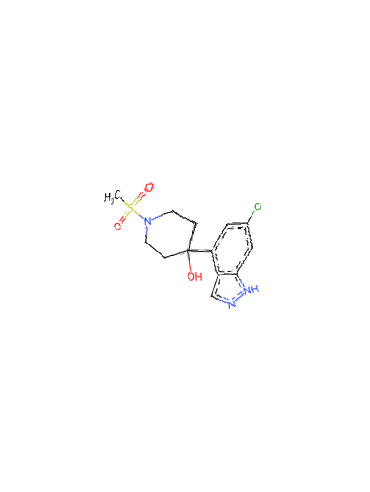 CS(=O)(=O)N1CCC(O)(c2cc(Cl)cc3[nH]ncc23)CC1